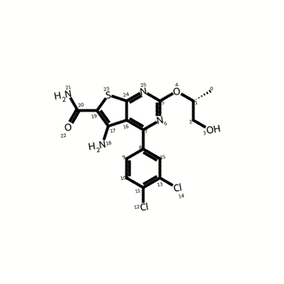 C[C@H](CO)Oc1nc(-c2ccc(Cl)c(Cl)c2)c2c(N)c(C(N)=O)sc2n1